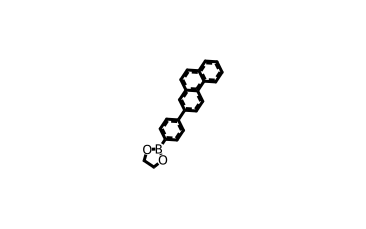 c1ccc2c(c1)ccc1cc(-c3ccc(B4OCCO4)cc3)ccc12